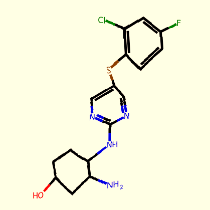 NC1CC(O)CCC1Nc1ncc(Sc2ccc(F)cc2Cl)cn1